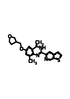 C=C1NC(c2cc3ccsc3cn2)=Nc2c(C)cc(OCC3CCOC3)cc21